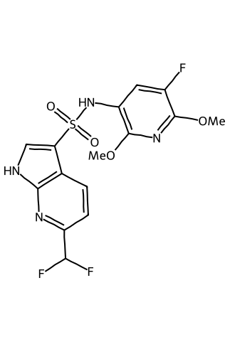 COc1nc(OC)c(NS(=O)(=O)c2c[nH]c3nc(C(F)F)ccc23)cc1F